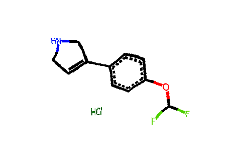 Cl.FC(F)Oc1ccc(C2=CCNC2)cc1